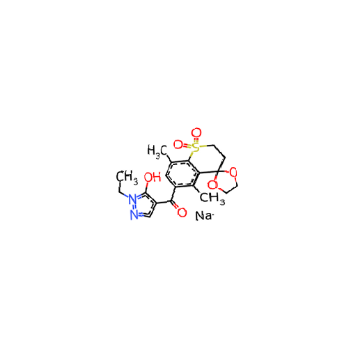 CCn1ncc(C(=O)c2cc(C)c3c(c2C)C2(CCS3(=O)=O)OCCO2)c1O.[Na]